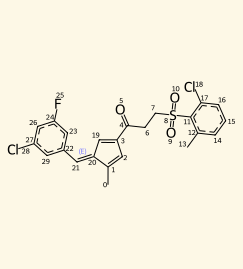 CC1=CC(C(=O)CCS(=O)(=O)c2c(C)cccc2Cl)=C/C1=C\c1cc(F)cc(Cl)c1